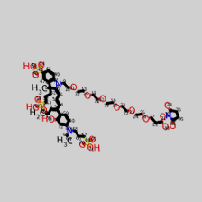 C=C/C=C(/C=C/C=C1/N(CCOCCOCCOCCOCCOCCOCCC(=O)ON2C(=O)CCC2=O)c2ccc(S(=O)(=O)O)cc2C1(C)CCCS(=O)(=O)O)c1ccc(N(CC)CCCS(=O)(=O)O)cc1O